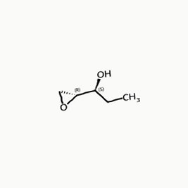 CC[C@H](O)[C@H]1CO1